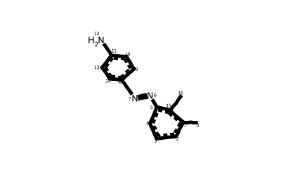 Cc1cccc(N=Nc2ccc(N)cc2)c1C